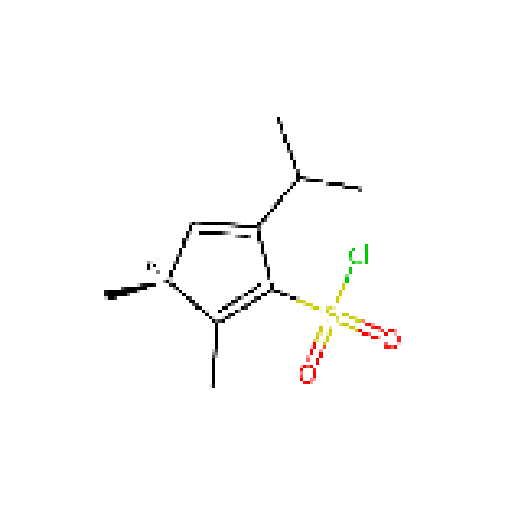 CC1=C(S(=O)(=O)Cl)C(C(C)C)=C[C@@H]1C